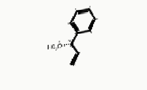 C=C[C@H](C(=O)O)c1ccccc1